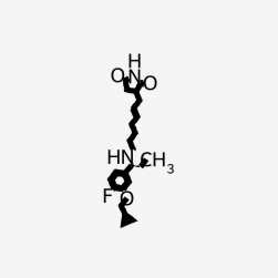 CC[C@@H](NCCCC/C=C/CC1CC(=O)NC1=O)c1ccc(F)c(OCC2CC2)c1